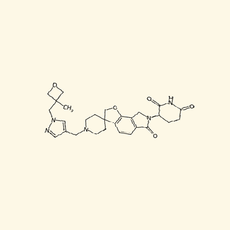 CC1(Cn2cc(CN3CCC4(CC3)COc3c4ccc4c3CN(C3CCC(=O)NC3=O)C4=O)cn2)COC1